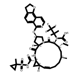 CC[C@@H]1C[C@@H](C)CCC=C[C@@H]2C[C@@]2(C(=O)NS(=O)(=O)C2(C)CC2)NC(=O)[C@@H]2C[C@@H](Oc3nccc4c5c(ccc34)CCO5)CN2C(=O)[C@H]1N(C(=O)O)C(C)(C)C(F)(F)F